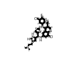 CN(C)CCN1C=C([C@@H](Nc2cc(Cl)c3ncc(C#N)c(Nc4ccc(F)c(Cl)c4)c3c2)c2cscn2)NN1